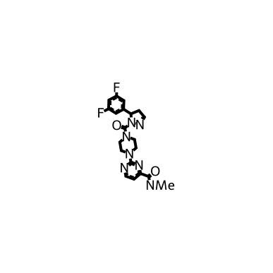 CNC(=O)c1ccnc(N2CCN(C(=O)N3N=CCC3c3cc(F)cc(F)c3)CC2)n1